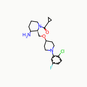 NC1CCCN(C(=O)C2CC2)[C@H]1COC1CCN(c2cc(F)ccc2Cl)CC1